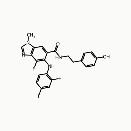 Cn1cnc2c(F)c(Nc3ccc(I)cc3F)c(C(=O)NCCc3ccc(O)cc3)cc21